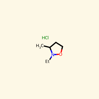 CCN1OCCC1C.Cl